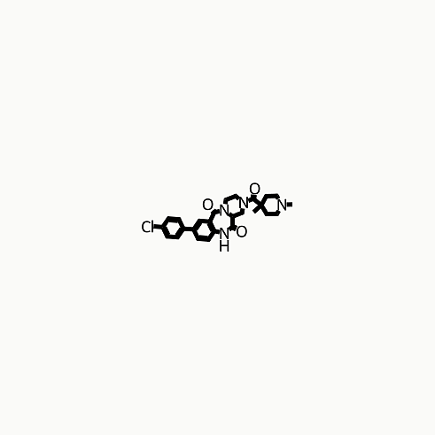 CN1CCC(C)(C(=O)N2CCN3C(=O)c4cc(-c5ccc(Cl)cc5)ccc4NC(=O)C3C2)CC1